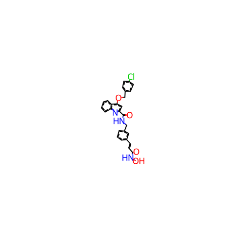 O=C(/C=C/c1cccc(CNC(=O)c2cc(OCc3ccc(Cl)cc3)c3ccccc3n2)c1)NO